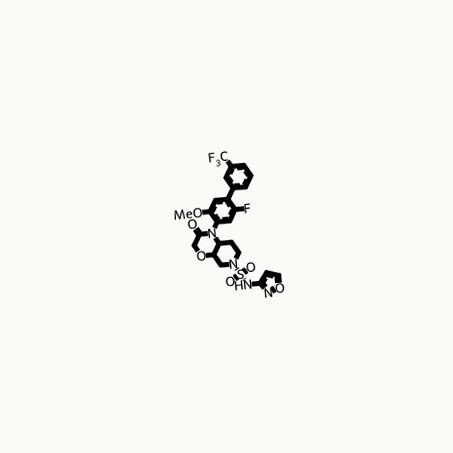 COc1cc(-c2cccc(C(F)(F)F)c2)c(F)cc1N1C(=O)COC2CN(S(=O)(=O)Nc3ccon3)CCC21